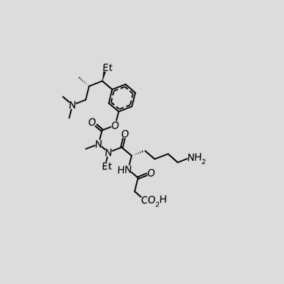 CC[C@@H](c1cccc(OC(=O)N(C)N(CC)C(=O)[C@H](CCCCN)NC(=O)CC(=O)O)c1)[C@@H](C)CN(C)C